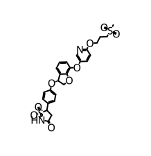 CS(=O)(=O)CCCOc1ccc(Oc2cccc3c2OC[C@H]3Oc2ccc(C3CC(=O)NS3(=O)=O)cc2)cn1